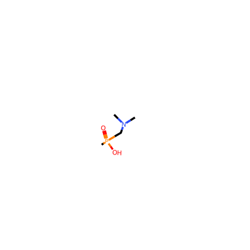 CN(C)CP(C)(=O)O